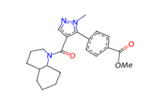 COC(=O)c1ccc(-c2c(C(=O)N3CCCC4CCCCC43)cnn2C)cc1